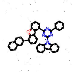 c1ccc(-c2nc(-c3cccc4oc5c(-c6ccc7ccccc7c6)cccc5c34)nc(-n3c4ccccc4c4ccccc43)n2)cc1